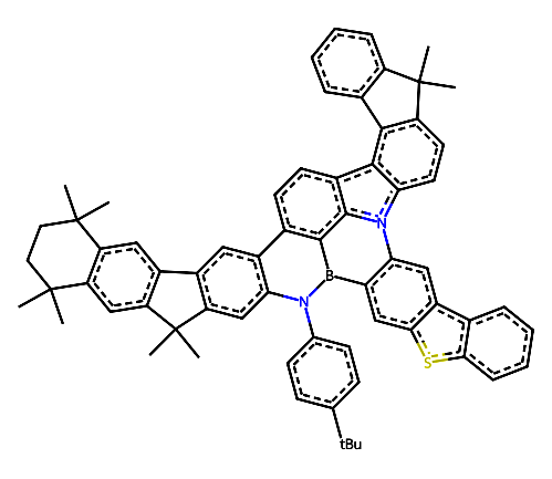 CC(C)(C)c1ccc(N2B3c4cc5sc6ccccc6c5cc4-n4c5ccc6c(c5c5ccc(c3c54)-c3cc4c(cc32)C(C)(C)c2cc3c(cc2-4)C(C)(C)CCC3(C)C)-c2ccccc2C6(C)C)cc1